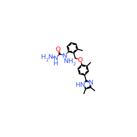 Cc1cc(-c2nc(C)c(C)[nH]2)ccc1OCc1c(C)cccc1N(N)C(=O)NN